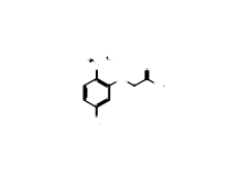 O=C(O)COc1cc(Br)ccc1[N+](=O)[O-]